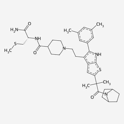 CSC[C@@H](NC(=O)C1CCN(CCc2c(-c3cc(C)cc(C)c3)[nH]c3sc(C(C)(C)C(=O)N4C5CCC4CC5)cc23)CC1)C(N)=O